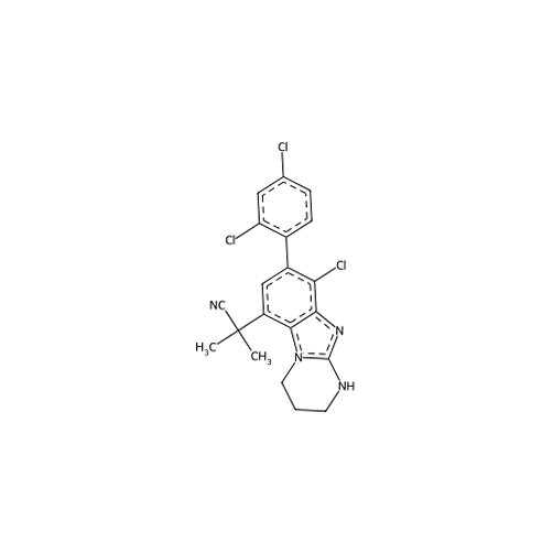 CC(C)(C#N)c1cc(-c2ccc(Cl)cc2Cl)c(Cl)c2nc3n(c12)CCCN3